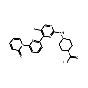 O=c1ccccn1-c1cccc(-c2nc(N[C@H]3CC[C@H](C(=O)O)CC3)ncc2F)n1